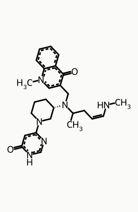 CN/C=C\CC(C)N(Cc1cn(C)c2ccccc2c1=O)[C@H]1CCCN(c2cc(=O)[nH]cn2)C1